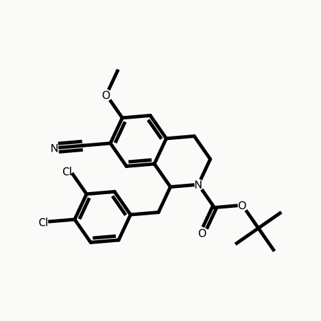 COc1cc2c(cc1C#N)C(Cc1ccc(Cl)c(Cl)c1)N(C(=O)OC(C)(C)C)CC2